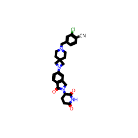 N#Cc1ccc(CN2CCC3(CC2)CN(c2ccc4c(c2)CN(C2CCC(=O)NC2=O)C4=O)C3)cc1Cl